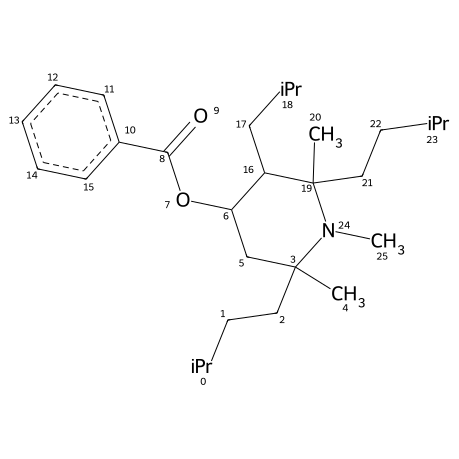 CC(C)CCC1(C)CC(OC(=O)c2ccccc2)C(CC(C)C)C(C)(CCC(C)C)N1C